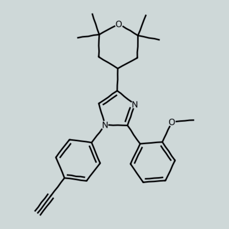 C#Cc1ccc(-n2cc(C3CC(C)(C)OC(C)(C)C3)nc2-c2ccccc2OC)cc1